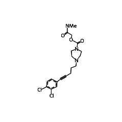 CNC(=O)COC(=O)N1CCN(CCCC#Cc2ccc(Cl)c(Cl)c2)CC1